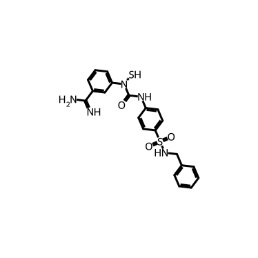 N=C(N)c1cccc(N(S)C(=O)Nc2ccc(S(=O)(=O)NCc3ccccc3)cc2)c1